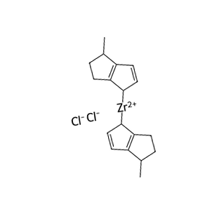 CC1CCC2=C1C=C[CH]2[Zr+2][CH]1C=CC2=C1CCC2C.[Cl-].[Cl-]